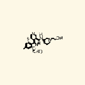 Cc1cc(F)c(-c2nnc(N[C@@H]3CCCN(CCO)C3)c3cnccc23)c(OC=O)c1